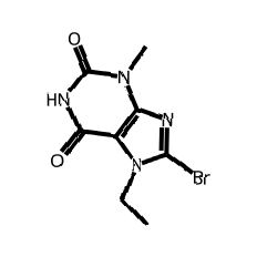 CCn1c(Br)nc2c1c(=O)[nH]c(=O)n2C